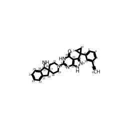 C#Cc1cccc(C2(c3n[nH]c4nc(N5CCC6(CC5)Cc5ccccc5[C@H]6N)[nH]c(=O)c34)CC2)c1